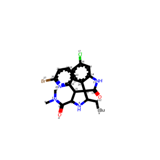 CN(C)C(=O)C1NC(CC(C)(C)C)C2(C(=O)Nc3cc(Cl)ccc32)C1c1cccc(Br)n1